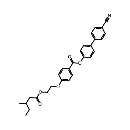 CCC(C)CC(=O)OCCOc1ccc(C(=O)Oc2ccc(-c3ccc(C#N)cc3)cc2)cc1